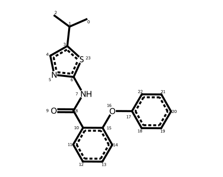 CC(C)c1cnc(NC(=O)c2ccccc2Oc2ccccc2)s1